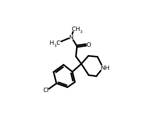 CN(C)C(=O)CC1(c2ccc(Cl)cc2)CCNCC1